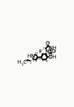 CCC[C@H]1C=C(c2ccc(O)c(N3CC(=O)NS3(=O)=O)c2F)CN1